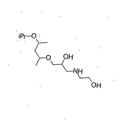 CC(C)OC(C)CC(C)OCC(O)CNCCO